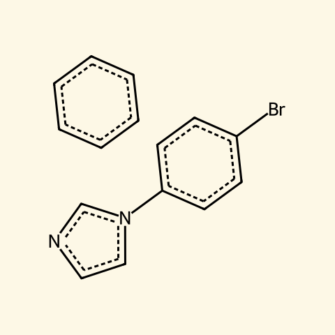 Brc1ccc(-n2ccnc2)cc1.c1ccccc1